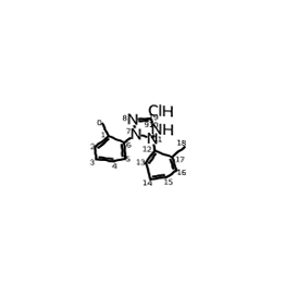 Cc1ccccc1N1N=CNN1c1ccccc1C.Cl